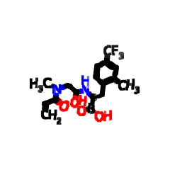 C=CC(=O)N(C)CC(=O)N[C@@H](Cc1ccc(C(F)(F)F)cc1C)B(O)O